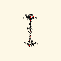 Cc1c(-c2ccnn2-c2ccc(C#N)cc2)cc(C(=O)NCCOCCOCCOCCNC(=O)CCC(=O)NCCOCCOCCOCCNC(=O)c2cc(-c3ccnn3-c3ccc(C#N)cc3)c(C)n(-c3cccc(C(F)(F)F)c3)c2=O)c(=O)n1-c1cccc(C(F)(F)F)c1